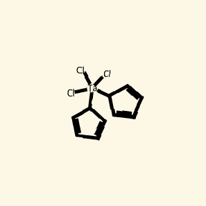 [Cl][Ta]([Cl])([Cl])([CH]1C=CC=C1)[CH]1C=CC=C1